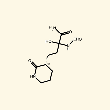 NC(=O)C(O)(CC[C@@H]1CCCNC1=O)NC=O